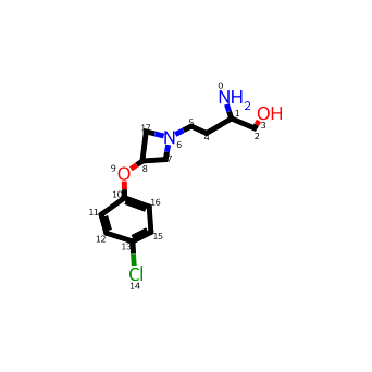 NC(CO)CCN1CC(Oc2ccc(Cl)cc2)C1